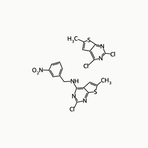 Cc1cc2c(Cl)nc(Cl)nc2s1.Cc1cc2c(NCc3cccc([N+](=O)[O-])c3)nc(Cl)nc2s1